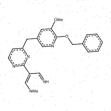 CN/C=C(\C=N)c1nccc(Cc2cnc(OCc3ccccc3)c(OC)c2)n1